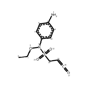 CCON(c1ccc(N)cc1)S(=O)(=O)CC=C=O